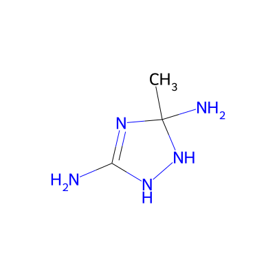 CC1(N)N=C(N)NN1